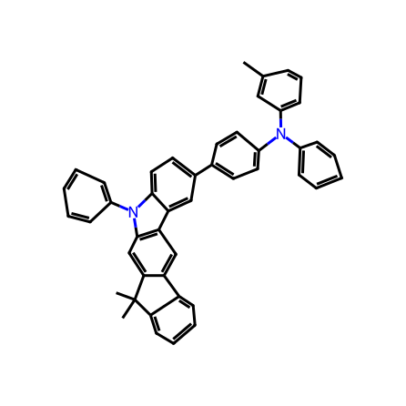 Cc1cccc(N(c2ccccc2)c2ccc(-c3ccc4c(c3)c3cc5c(cc3n4-c3ccccc3)C(C)(C)c3ccccc3-5)cc2)c1